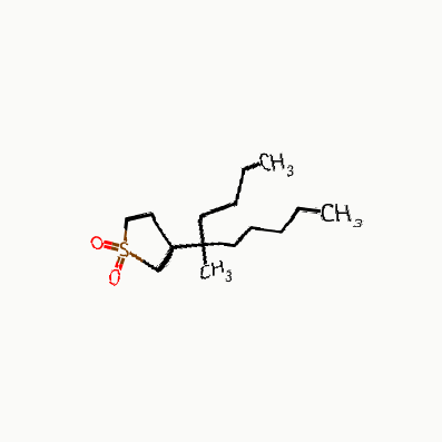 CCCCCC(C)(CCCC)C1CCS(=O)(=O)C1